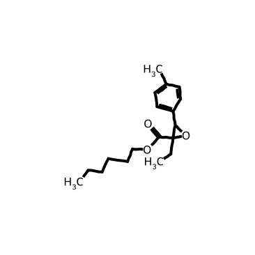 CCCCCCOC(=O)C1(CC)OC1c1ccc(C)cc1